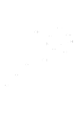 CCOCOc1ccc(C)c(B2OC(C)(C)C(C)(C)O2)c1C